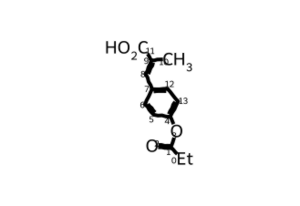 CCC(=O)Oc1ccc(C=C(C)C(=O)O)cc1